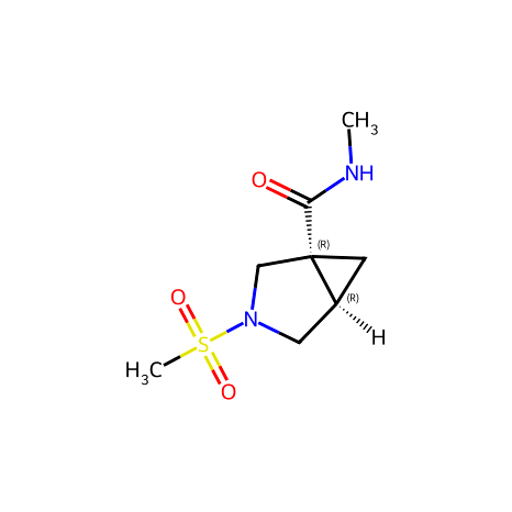 CNC(=O)[C@]12C[C@H]1CN(S(C)(=O)=O)C2